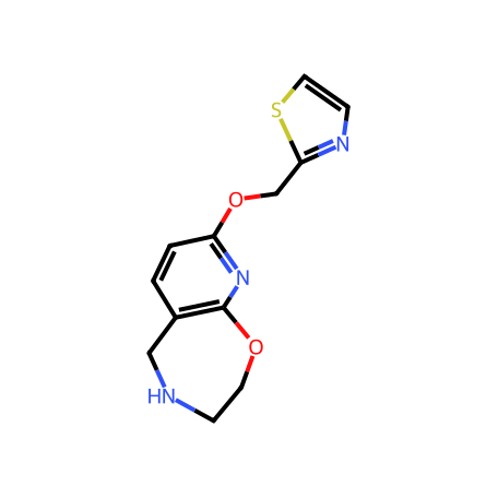 c1csc(COc2ccc3c(n2)OCCNC3)n1